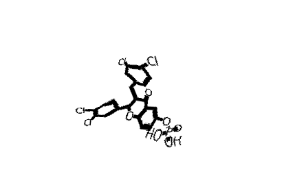 O=C1C(=Cc2ccc(Cl)c(Cl)c2)C(c2ccc(Cl)c(Cl)c2)Oc2ccc(OP(=O)(O)O)cc21